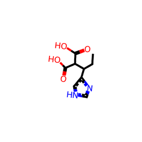 CCC(c1c[nH]cn1)C(C(=O)O)C(=O)O